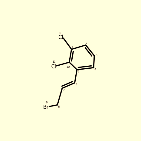 Clc1cccc(C=CCBr)c1Cl